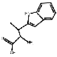 CC(c1cc2ccccc2[nH]1)C(N)C(=O)O